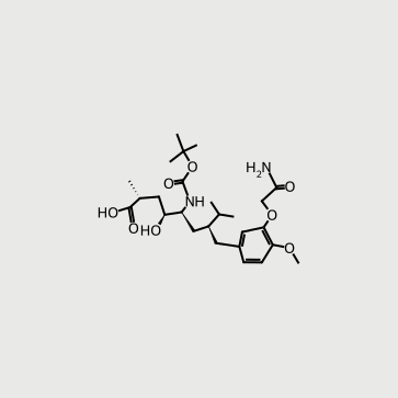 COc1ccc(C[C@@H](C[C@H](NC(=O)OC(C)(C)C)[C@@H](O)C[C@@H](C)C(=O)O)C(C)C)cc1OCC(N)=O